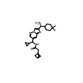 N[C@H](c1cn2ncc(C(NC(=O)CC34CC(C3)C4)C3CC3)cc2n1)C1CCC(F)(F)CC1